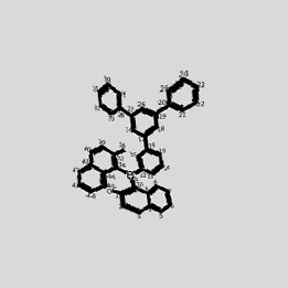 Cc1ccc2ccccc2c1B(c1cccc(-c2cc(-c3ccccc3)cc(-c3ccccc3)c2)c1)c1c(C)ccc2ccccc12